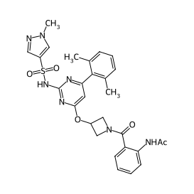 CC(=O)Nc1ccccc1C(=O)N1CC(Oc2cc(-c3c(C)cccc3C)nc(NS(=O)(=O)c3cnn(C)c3)n2)C1